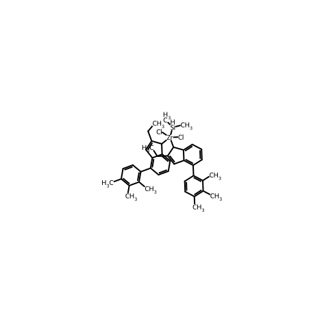 CCC1=Cc2c(-c3ccc(C)c(C)c3C)cccc2[CH]1[Zr]([Cl])([Cl])([CH]1C(CC)=Cc2c(-c3ccc(C)c(C)c3C)cccc21)[SiH](C)C